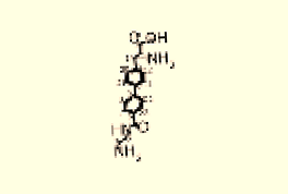 NCCNC(=O)c1ccc(-c2ccc(C[C@@H](N)C(=O)O)cc2)cc1